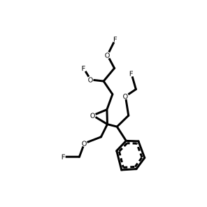 FCOCC(c1ccccc1)C1(COCF)OC1CC(COF)OF